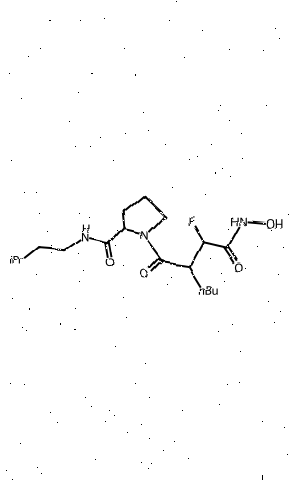 CCCCC(C(=O)N1CCCC1C(=O)NCCC(C)C)C(F)C(=O)NO